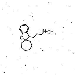 CNCCCC1c2ccccc2OC12CCCCCC2